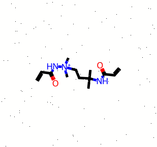 C=CC(=O)NC(C)(C)CC[N+](C)(C)NC(=O)C=C